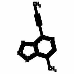 CC#Cc1ncc(C)c2nsnc12